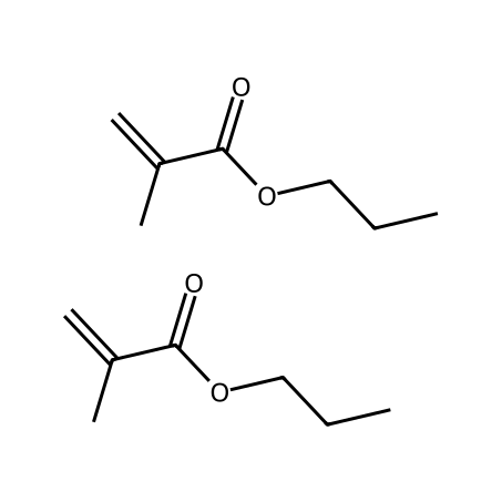 C=C(C)C(=O)OCCC.C=C(C)C(=O)OCCC